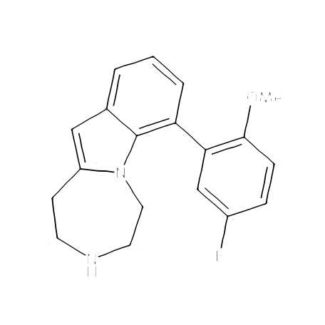 COc1ccc(F)cc1-c1cccc2cc3n(c12)CCNCC3